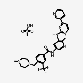 CS(=O)(=O)O.Cc1ncc(NC(=O)c2ccc(CN3CCN(C)CC3)c(C(F)(F)F)c2)cc1Nc1nccc(-c2cccnc2)n1